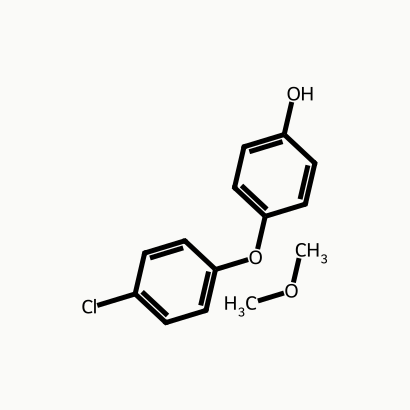 COC.Oc1ccc(Oc2ccc(Cl)cc2)cc1